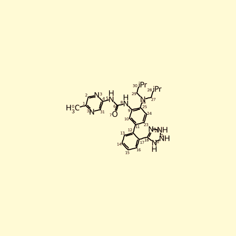 Cc1cnc(NC(=O)Nc2cc(-c3ccccc3C3=NNNN3)ccc2N(CC(C)C)CC(C)C)cn1